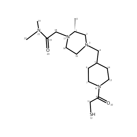 C[C@@H]1CN(CC2CCN(C(=O)CS)CC2)CCN1CC(=O)N(C)C